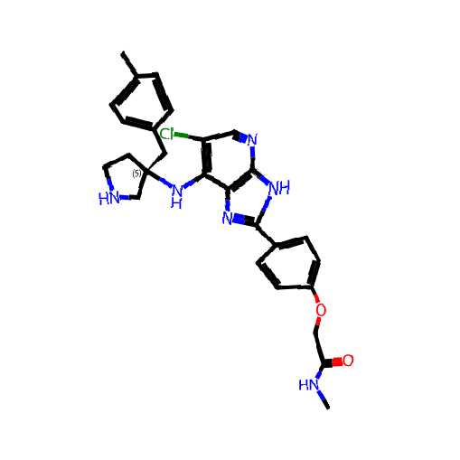 CNC(=O)COc1ccc(-c2nc3c(N[C@@]4(Cc5ccc(C)cc5)CCNC4)c(Cl)cnc3[nH]2)cc1